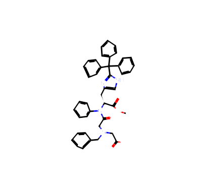 COC(=O)[C@H](Cc1c[nH]c(C(c2ccccc2)(c2ccccc2)c2ccccc2)n1)N(C(=O)CN(CC(=O)O)Cc1ccccc1)c1ccccc1